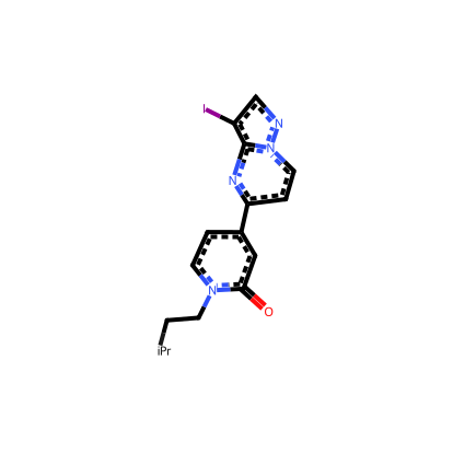 CC(C)CCn1ccc(-c2ccn3ncc(I)c3n2)cc1=O